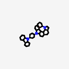 c1ccc(-n2ccc3ccc4ccc5c(c6ccccc6n5-c5ccc(-n6c7ccccc7c7ccccc76)cc5)c4c32)cc1